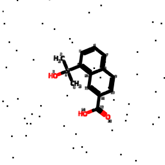 C[Si](C)(O)c1cccc2ccc(C(=O)O)cc12